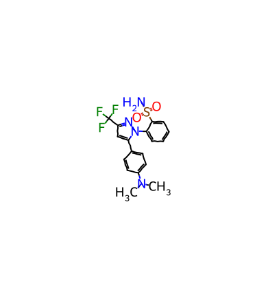 CN(C)c1ccc(-c2cc(C(F)(F)F)nn2-c2ccccc2S(N)(=O)=O)cc1